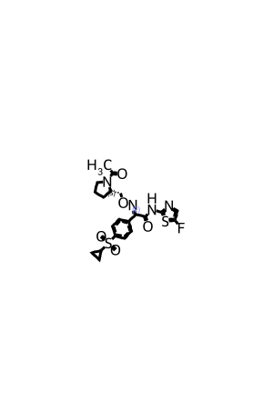 CC(=O)N1CCC[C@H]1CO/N=C(/C(=O)Nc1ncc(F)s1)c1ccc(S(=O)(=O)C2CC2)cc1